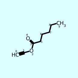 C#COC(=O)CCCCC